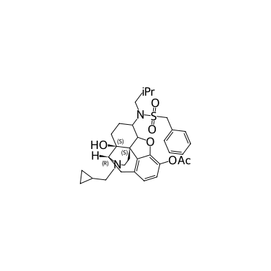 CC(=O)Oc1ccc2c3c1OC1C(N(CC(C)C)S(=O)(=O)Cc4ccccc4)CC[C@@]4(O)[C@@H](C2)N(CC2CC2)CC[C@]314